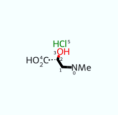 CNC[C@@H](O)C(=O)O.Cl